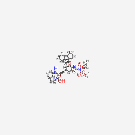 CC(C)(C)OC(=O)N(C(=O)OC(C)(C)C)c1nc2c(O[Si](c3ccccc3)(c3ccccc3)C(C)(C)C)cc(C#CCNc3cccc4ccn(C(=O)O)c34)cc2s1